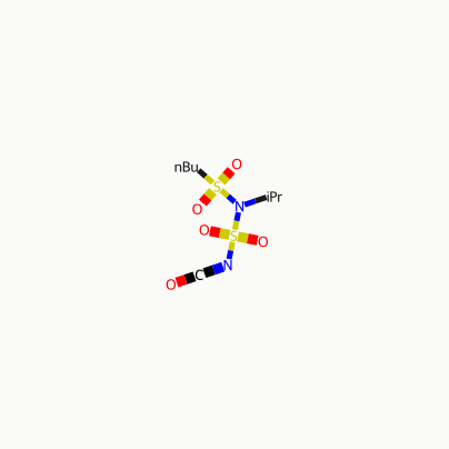 CCCCS(=O)(=O)N(C(C)C)S(=O)(=O)N=C=O